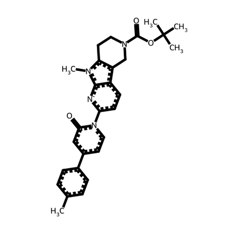 Cc1ccc(-c2ccn(-c3ccc4c5c(n(C)c4n3)CCN(C(=O)OC(C)(C)C)C5)c(=O)c2)cc1